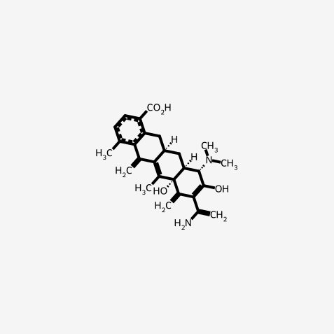 C=C(N)C1=C(O)[C@@H](N(C)C)[C@@H]2C[C@@H]3Cc4c(C(=O)O)ccc(C)c4C(=C)C3=C(C)[C@]2(O)C1=C